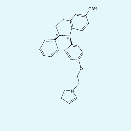 COc1ccc2c(c1)CC[C@H](c1ccccc1)[C@@H]2c1ccc(OCCN2C=CCC2)cc1